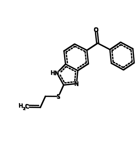 C=CCSc1nc2cc(C(=O)c3ccccc3)ccc2[nH]1